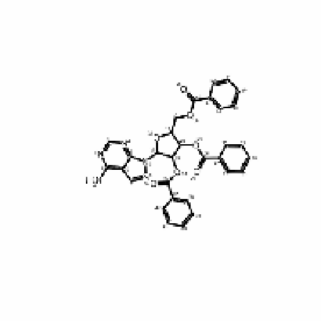 Nc1ncnc2c1cnn2C1OC(COC(=O)c2ccccc2)C(OC(=O)c2ccccc2)C1OC(=O)c1ccccc1